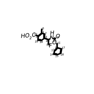 Cc1cc(C(CF)NC(=O)OCc2ccccc2)ccc1C(=O)O